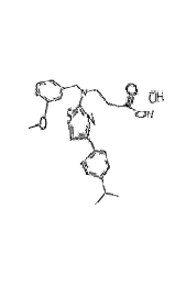 COc1cccc(CN(CCC(=O)O)c2nc(-c3ccc(C(C)C)cc3)cs2)c1.Cl